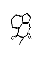 CC1NCC2=C3C(=CCCC3C1=O)C=C2